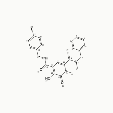 CN(Cc1ccccc1)C(=O)c1cc(C(=O)NCc2ccc(F)cc2)c(O)c(=O)n1C